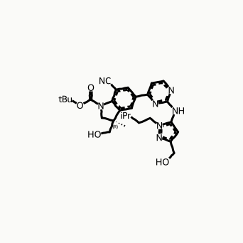 CC(C)CCn1nc(CO)cc1Nc1nccc(-c2cc(C#N)c3c(c2)[C@@](C)(CO)CN3C(=O)OC(C)(C)C)n1